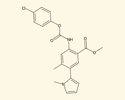 COC(=O)c1cc(-c2cccn2C)c(C)cc1NC(=O)Oc1ccc(Cl)cc1